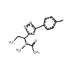 CCC(c1nc(-c2ccc(I)cc2)no1)N(C)C(C)=O